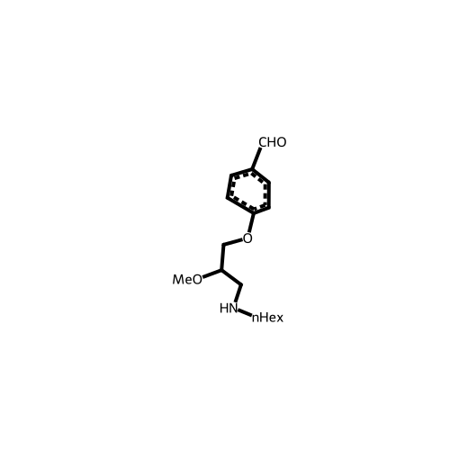 CCCCCCNCC(COc1ccc(C=O)cc1)OC